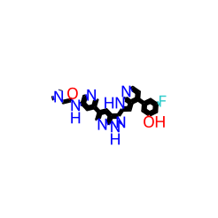 CN(C)CC(=O)Nc1cncc(-c2cnc3[nH]nc(-c4cc5c(-c6cc(O)cc(F)c6)ccnc5[nH]4)c3c2)c1